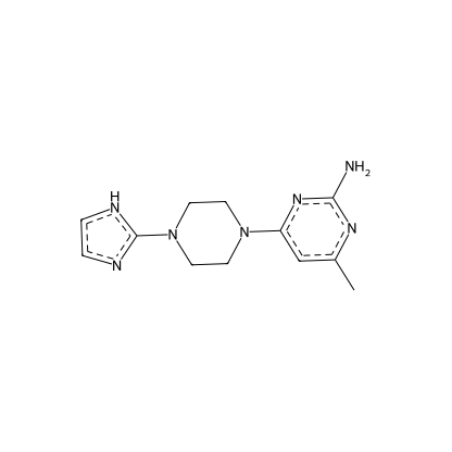 Cc1cc(N2CCN(c3ncc[nH]3)CC2)nc(N)n1